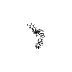 Cc1ccc2cc(S(=O)(=O)NC(=O)C(NC(=O)c3ccc(-n4ccncc4=O)cc3)C(C)C)sc2c1